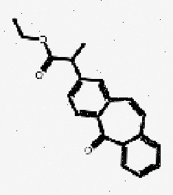 CCOC(=O)C(C)c1ccc2c(=O)c3ccccc3ccc2c1